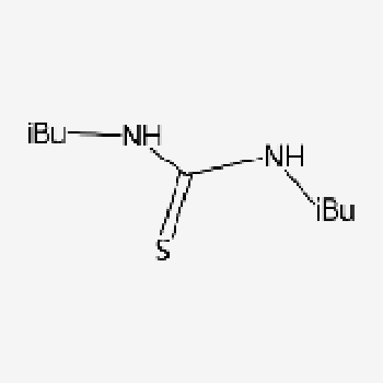 CCC(C)NC(=S)NC(C)CC